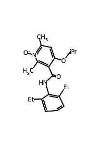 CCc1cccc(CC)c1NC(=O)c1c(OC(C)C)cc(C)[n+]([O-])c1C